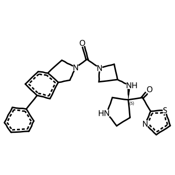 O=C(N1Cc2ccc(-c3ccccc3)cc2C1)N1CC(N[C@@]2(C(=O)c3nccs3)CCNC2)C1